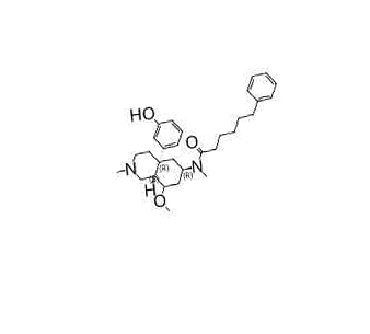 COC1C[C@H](N(C)C(=O)CCCCCc2ccccc2)C[C@]2(c3cccc(O)c3)CCN(C)C[C@@H]12